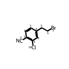 N#Cc1c[c]c(CCBr)cc1Cl